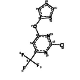 FC(F)(F)c1cc(Oc2cccs2)nc(Cl)n1